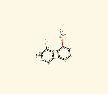 [BaH2].[Cd].[O-]c1ccccc1.[O-]c1ccccc1.[Zn+2]